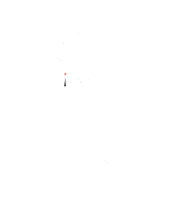 CC(=O)N[C@@H]1CC2C(C)[C@@H](C1)N2CCc1ccc(Oc2nc3cccc(F)c3s2)cc1